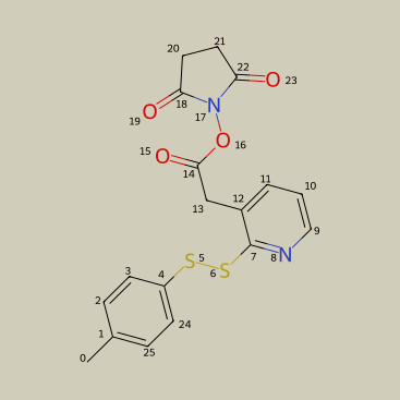 Cc1ccc(SSc2ncccc2CC(=O)ON2C(=O)CCC2=O)cc1